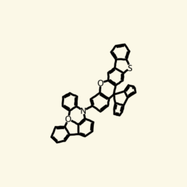 Cc1ccccc1N(c1ccc2c(c1)Oc1cc3c(cc1C21c2ccccc2-c2ccccc21)sc1ccccc13)c1cccc2c1oc1ccccc12